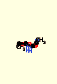 CN1C=CC(Oc2ccc(NC(=O)Nc3cccc(OCc4cccc(C(F)(F)F)c4)c3)cc2)=CC1